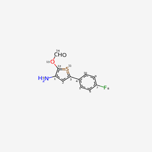 Nc1cc(-c2ccc(F)cc2)sc1OC=O